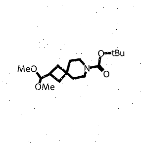 COC(OC)C1CC2(CCN(C(=O)OC(C)(C)C)CC2)C1